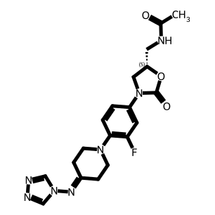 CC(=O)NC[C@H]1CN(c2ccc(N3CCC(=Nn4cnnc4)CC3)c(F)c2)C(=O)O1